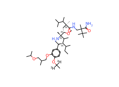 [2H]C([2H])(C)Oc1ccc(C(C)[C@H](C(C)CC)C(C)[C@](C)(N)[C@H](C[C@](C)(C(=O)NCC(C)(C(N)=O)C(C)(C)C)C(C)C(C)C)OC)cc1OCC(C)COC(C)C